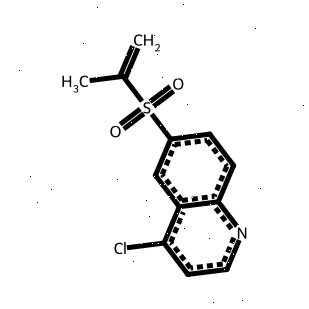 C=C(C)S(=O)(=O)c1ccc2nccc(Cl)c2c1